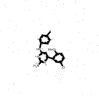 COc1ccc(Cl)cc1-c1cc(Nc2ccc(C)cc2)nc(N)n1